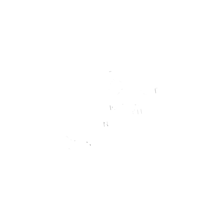 CC(CCN1CCC2C(C1)c1cccc3c1N2CCCS3)C(O)(c1ccc(F)cc1)c1ccc(F)cc1